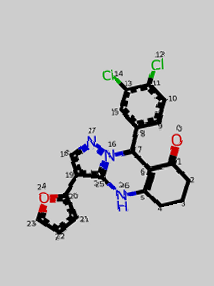 O=C1CCCC2=C1C(c1ccc(Cl)c(Cl)c1)n1ncc(-c3ccco3)c1N2